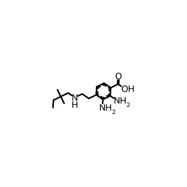 CCC(C)(C)CNCCc1ccc(C(=O)O)c(N)c1N